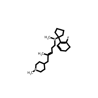 C/C(=C\CCN(C)C1(C2=C(F)CCC=C2)CCCC1)CC1CCN(C)CC1